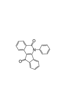 O=C1c2ccccc2-c2c1c1ccccc1c(=O)n2-c1ccccc1